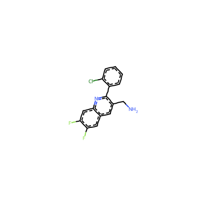 NCc1cc2cc(F)c(F)cc2nc1-c1ccccc1Cl